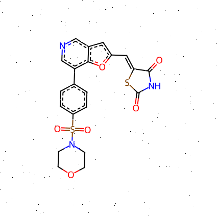 O=C1NC(=O)C(=Cc2cc3cncc(-c4ccc(S(=O)(=O)N5CCOCC5)cc4)c3o2)S1